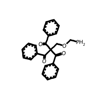 O=C(c1ccccc1)C(COCP)(C(=O)c1ccccc1)C(=O)c1ccccc1